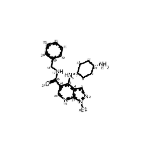 CCn1ncc2c(N[C@H]3CC[C@@H](N)CC3)c(C(=O)NCc3ccccc3)cnc21